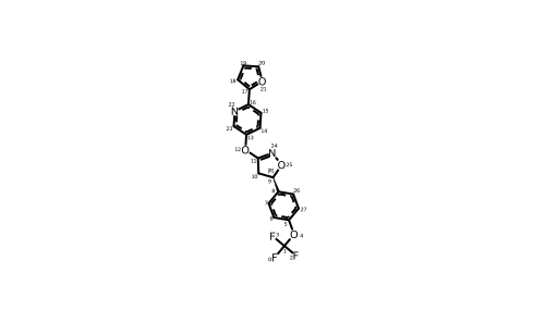 FC(F)(F)Oc1ccc([C@H]2CC(Oc3ccc(-c4ccco4)nc3)=NO2)cc1